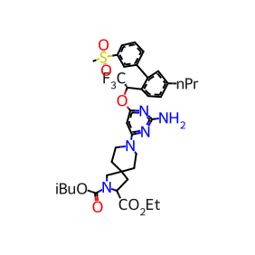 CCCc1ccc([C@@H](Oc2cc(N3CCC4(CC3)CC(C(=O)OCC)N(C(=O)OCC(C)C)C4)nc(N)n2)C(F)(F)F)c(-c2cccc(S(C)(=O)=O)c2)c1